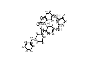 Cc1cnc(Nc2ccc(N(C)C3CCCN(Cc4ccccc4)C3)nc2)nc1Nc1ccc2oc(=O)[nH]c2c1